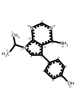 CC(C)n1cc(-c2ccc(O)cc2)c2c(N)ncnc21